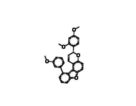 COc1cccc(-c2cccc3oc4ccc5c(c4c23)C=CC(c2ccc(OC)cc2OC)O5)c1